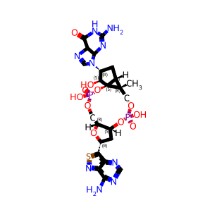 C[C@@]12COP(=O)(O)O[C@H]3C[C@H](c4snc5c(N)ncnc45)O[C@@H]3COP(=O)(O)O[C@]13[C@@H](O)[C@H](N1C=NC4C(=O)NC(N)=NC41)C[C@@H]32